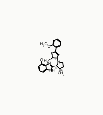 COc1ccccc1C1=[C]N(N2CC[C@H](C)[C@H]2c2nc3c(Cl)cccc3[nH]2)C(C)S1